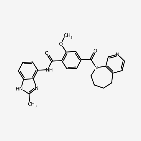 COc1cc(C(=O)N2CCCCc3ccncc32)ccc1C(=O)Nc1cccc2[nH]c(C)nc12